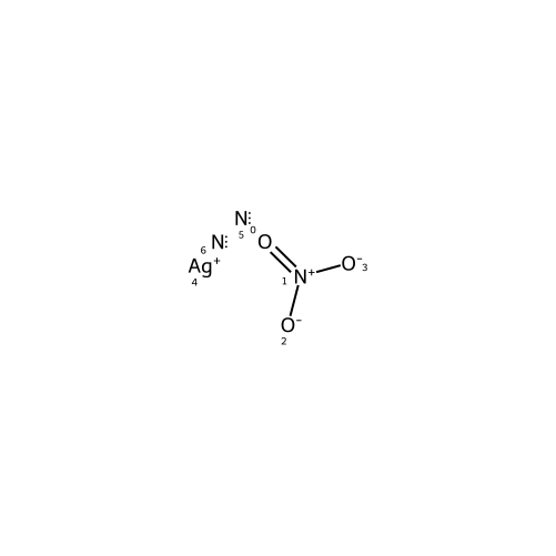 O=[N+]([O-])[O-].[Ag+].[N].[N]